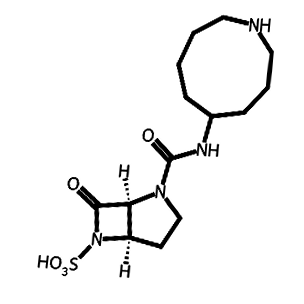 O=C(NC1CCCCNCCC1)N1CC[C@@H]2[C@H]1C(=O)N2S(=O)(=O)O